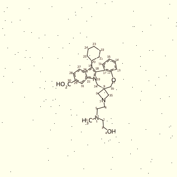 CN(CCO)CCN1CC2(COc3ccccc3-c3c(C4CCCCC4)c4ccc(C(=O)O)cc4n3C2)C1